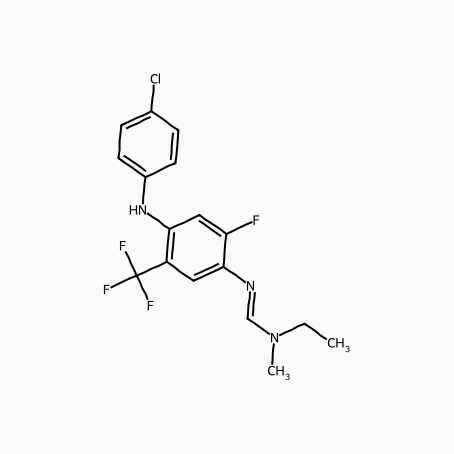 CCN(C)C=Nc1cc(C(F)(F)F)c(Nc2ccc(Cl)cc2)cc1F